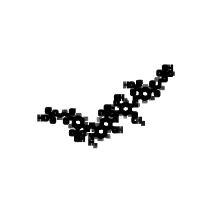 COc1cc(/N=N/c2c(S(=O)(=O)O)cc3c(/N=N/c4ccc(S(=O)(=O)CCOS(=O)(=O)O)cc4S(=O)(=O)O)c(N)ccc3c2O)c(OC)cc1/N=N/c1ccc(S(=O)(=O)CCOS(=O)(=O)O)cc1S(=O)(=O)O